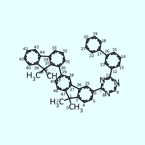 CC1(C)c2ccc(-c3ncnc(-c4cccc(-c5ccccc5)c4)n3)cc2-c2cc(-c3cccc4c3C(C)(C)c3ccccc3-4)ccc21